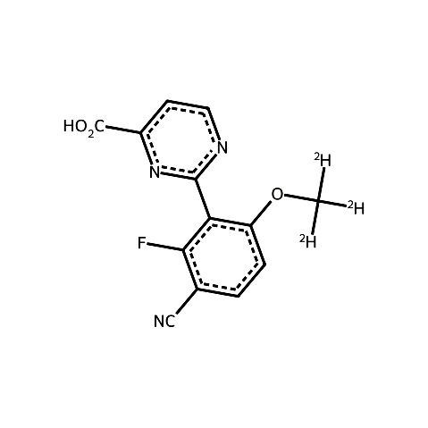 [2H]C([2H])([2H])Oc1ccc(C#N)c(F)c1-c1nccc(C(=O)O)n1